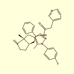 C=C1CC[C@H](CC(NC(=O)Cc2cccnc2)c2ccccc2)[C@@]1(C)Cc1cnn(-c2ccc(F)cc2)c1C